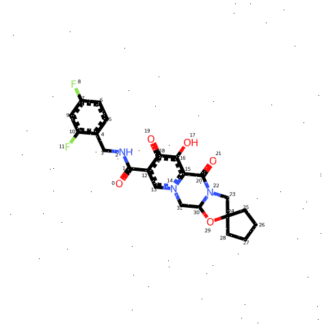 O=C(NCc1ccc(F)cc1F)c1cn2c(c(O)c1=O)C(=O)N1CC3(CCCC3)OC1C2